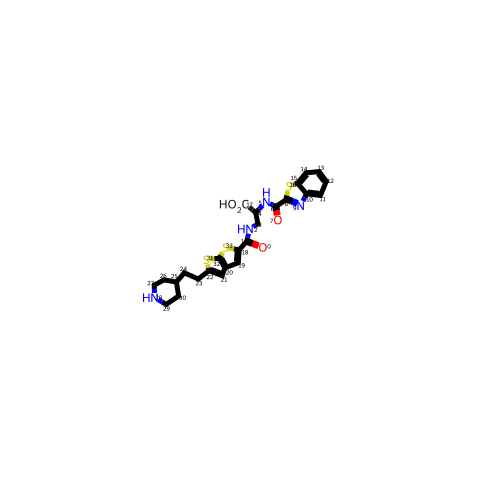 O=C(NCC(NC(=O)c1nc2ccccc2s1)C(=O)O)c1cc2cc(CCC3CCNCC3)sc2s1